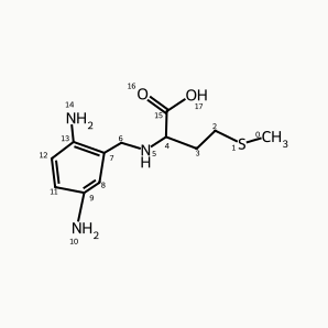 CSCCC(NCc1cc(N)ccc1N)C(=O)O